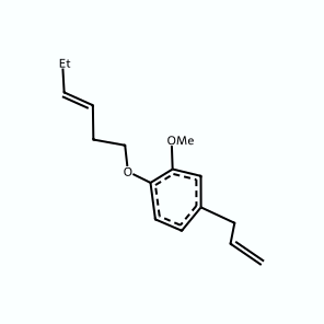 C=CCc1ccc(OCCC=CCC)c(OC)c1